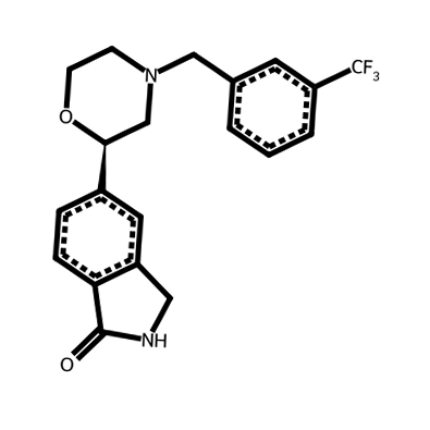 O=C1NCc2cc([C@@H]3CN(Cc4cccc(C(F)(F)F)c4)CCO3)ccc21